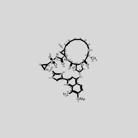 COc1ccc2c(O[C@@H]3C[C@H]4C(=O)N[C@]5(C(=O)NS(=O)(=O)C6CC6)C[C@H]5/C=C\CCCCO[C@H](C)C(=O)N4C3)cc(-c3csc(C)n3)nc2c1C